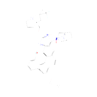 C=Cc1cc2c(N3C[C@H]4CC[C@@H](C3)N4C(=O)OC(C)(C)C)nc(OC[C@@]34CCCN3C[C@@]3(CC3(F)F)C4)nc2c(F)c1-c1cc(OCOC)cc2ccc(F)c(F)c12